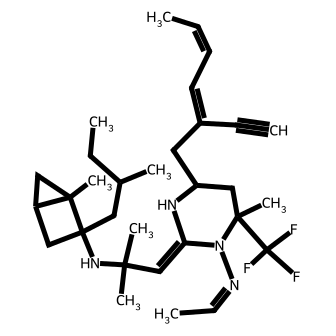 C#C/C(=C\C=C/C)CC1CC(C)(C(F)(F)F)N(/N=C\C)/C(=C/C(C)(C)NC2(CC(C)CC)CC3CC32C)N1